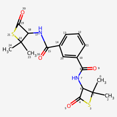 CC1(C)SC(=O)C1NC(=O)c1cccc(C(=O)NC2C(=O)SC2(C)C)c1